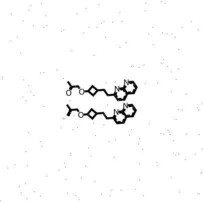 C=C(C)COC1CC(CCc2ccc3cccnc3n2)C1.CC(=O)COC1CC(CCc2ccc3cccnc3n2)C1